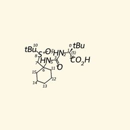 CC(C)(C)[C@H](NC(=O)NC1(C[S+]([O-])C(C)(C)C)CCCCC1)C(=O)O